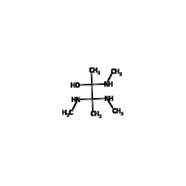 CNC(C)(O)C(C)(NC)NC